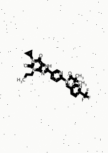 CCCn1c(=O)n(C2CC2)c(=O)c2[nH]c(-c3ccc(N(Cc4ccc(C(F)(F)F)nc4)C(=O)C(C)(C)C)nc3)nc21